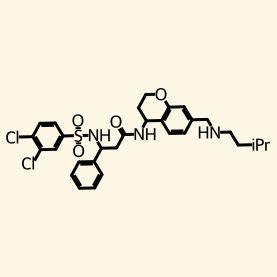 CC(C)CCNCc1ccc2c(c1)OCCC2NC(=O)CC(NS(=O)(=O)c1ccc(Cl)c(Cl)c1)c1ccccc1